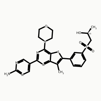 Cc1c(-c2cccc(S(=O)(=O)C[C@H](C)O)c2)sc2c(N3CCOCC3)nc(-c3cnc(N)nc3)nc12